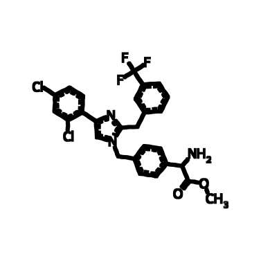 COC(=O)C(N)c1ccc(Cn2cc(-c3ccc(Cl)cc3Cl)nc2Cc2cccc(C(F)(F)F)c2)cc1